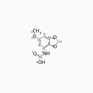 COc1cc(NC(=O)O)c2c(c1)OCO2